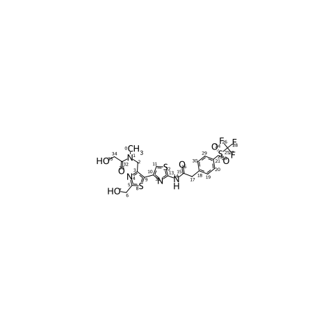 CN(Cc1nc(CO)sc1-c1csc(NC(=O)Cc2ccc(S(=O)(=O)C(F)(F)F)cc2)n1)C(=O)CO